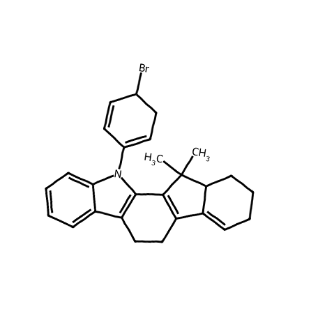 CC1(C)C2=C(CCc3c2n(C2=CCC(Br)C=C2)c2ccccc32)C2=CCCCC21